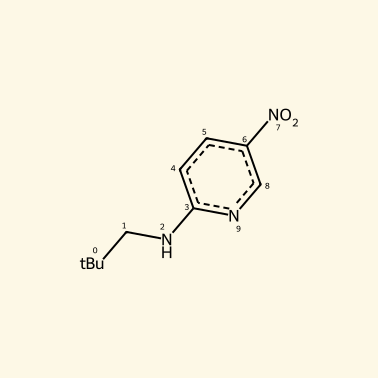 CC(C)(C)CNc1ccc([N+](=O)[O-])cn1